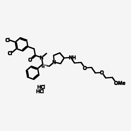 COCCOCCOCCNC1CCN(C[C@H](c2ccccc2)N(C)C(=O)Cc2ccc(Cl)c(Cl)c2)C1.Cl.Cl